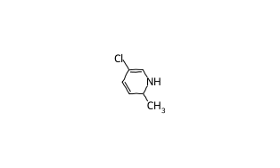 CC1C=CC(Cl)=CN1